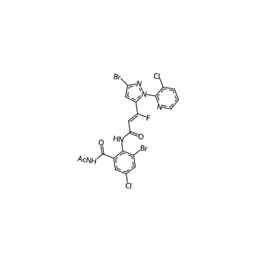 CC(=O)NC(=O)c1cc(Cl)cc(Br)c1NC(=O)C=C(F)c1cc(Br)nn1-c1ncccc1Cl